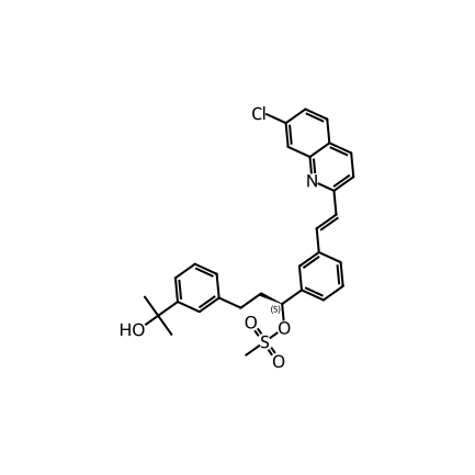 CC(C)(O)c1cccc(CC[C@H](OS(C)(=O)=O)c2cccc(C=Cc3ccc4ccc(Cl)cc4n3)c2)c1